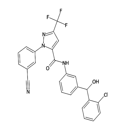 N#Cc1cccc(-n2nc(C(F)(F)F)cc2C(=O)Nc2cccc(C(O)c3ccccc3Cl)c2)c1